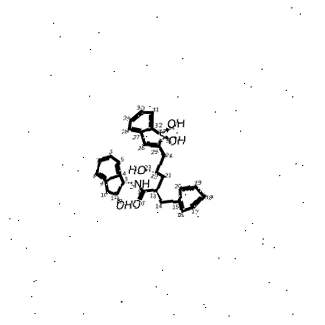 O=C(N[C@H]1c2ccccc2C[C@H]1O)[C@H](Cc1ccccc1)C[C@H](O)CC1=Cc2ccccc2S1(O)O